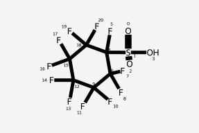 O=S(=O)(O)C1(F)C(F)(F)C(F)(F)C(F)(F)C(F)(F)C1(F)F